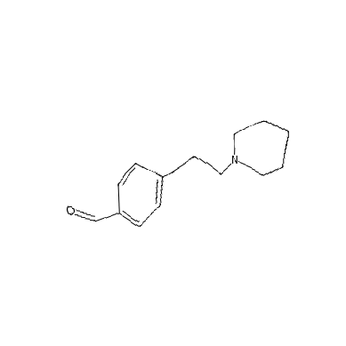 O=Cc1ccc(CCN2CCCCC2)cc1